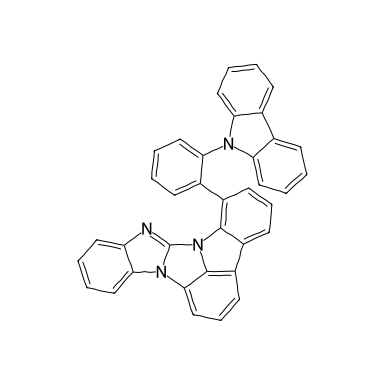 c1ccc(-n2c3ccccc3c3ccccc32)c(-c2cccc3c4cccc5c4n(c23)c2nc3ccccc3n52)c1